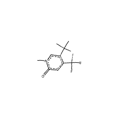 Cn1cc(C(C)(C)C)c(C(F)(F)F)cc1=O